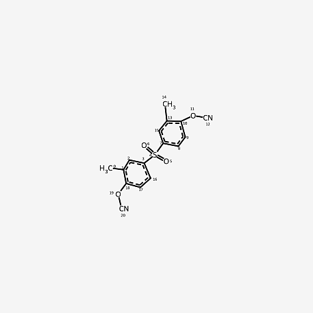 Cc1cc(S(=O)(=O)c2ccc(OC#N)c(C)c2)ccc1OC#N